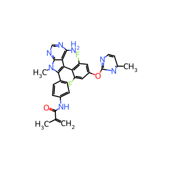 C=C(C)C(=O)Nc1ccc(-c2c(-c3c(F)cc(Oc4nccc(C)n4)cc3F)c3c(N)ncnc3n2C)cc1